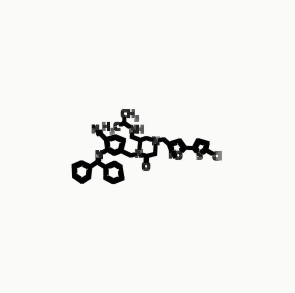 CC(C)NCC1CN(Cc2cc(-c3ccc(Cl)s3)on2)CC(=O)N1Cc1ccc(C#N)c(N=C(c2ccccc2)c2ccccc2)c1